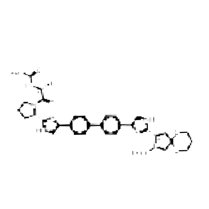 COC(=O)N[C@H](C(=O)N1CCC[C@H]1c1nc(-c2ccc(-c3ccc(-c4c[nH]c([C@@H]5CC6(CN5C(=O)O)OCCCO6)n4)cc3)cc2)c[nH]1)C(C)C